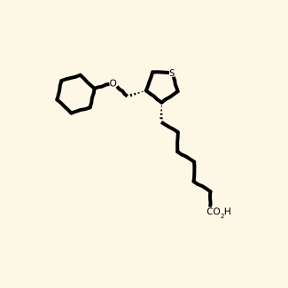 O=C(O)CCCCCC[C@H]1CSC[C@H]1COC1CCCCC1